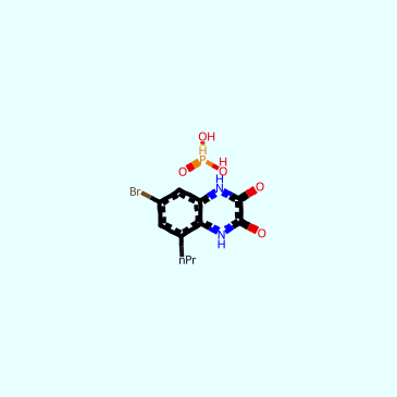 CCCc1cc(Br)cc2[nH]c(=O)c(=O)[nH]c12.O=[PH](O)O